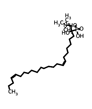 CCC/C=C\CCCCCCCCCC/C=C\CCCCCCC(O)(C[N+](C)(C)C)P(=O)(O)O